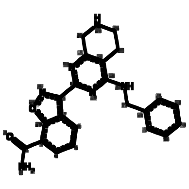 NC(=O)c1cccc2c(-c3nc4c(c(NCc5ccccc5)n3)CCNC4)noc12